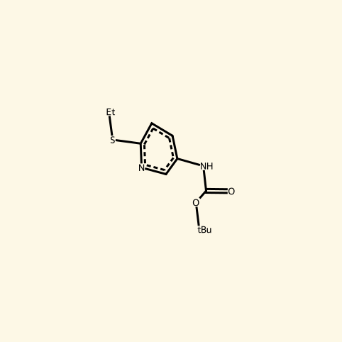 CCSc1ccc(NC(=O)OC(C)(C)C)cn1